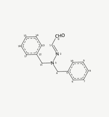 O=CC=NN(Cc1ccccc1)Cc1ccccc1